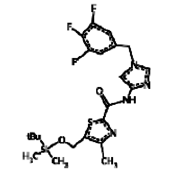 Cc1nc(C(=O)Nc2cn(Cc3cc(F)c(F)c(F)c3)cn2)sc1CO[Si](C)(C)C(C)(C)C